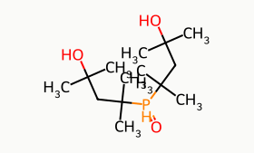 CC(C)(O)CC(C)(C)[PH](=O)C(C)(C)CC(C)(C)O